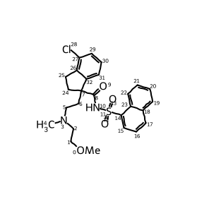 COCCN(C)CCC1(C(=O)NS(=O)(=O)c2cccc3ccccc23)CCc2c(Cl)cccc21